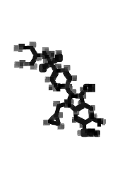 COc1cc2c(cc1F)c(C#N)c(-c1ccc(S(=O)(=O)NC(CF)CF)cn1)n2CC1CC1